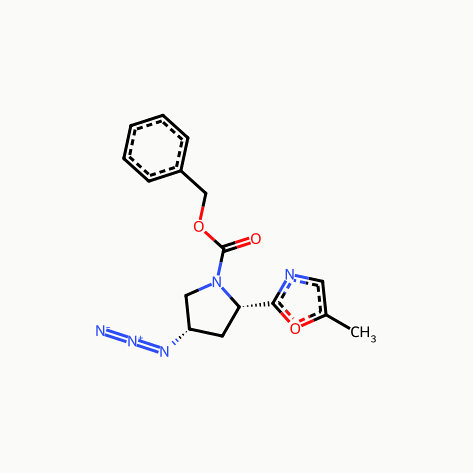 Cc1cnc([C@@H]2C[C@H](N=[N+]=[N-])CN2C(=O)OCc2ccccc2)o1